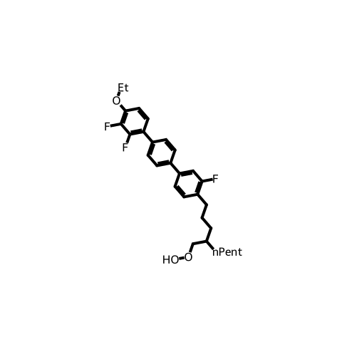 CCCCCC(CCCc1ccc(-c2ccc(-c3ccc(OCC)c(F)c3F)cc2)cc1F)COO